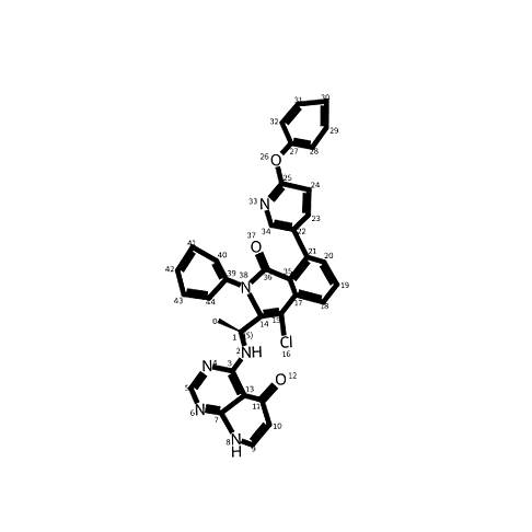 C[C@H](Nc1ncnc2[nH]ccc(=O)c12)c1c(Cl)c2cccc(-c3ccc(Oc4ccccc4)nc3)c2c(=O)n1-c1ccccc1